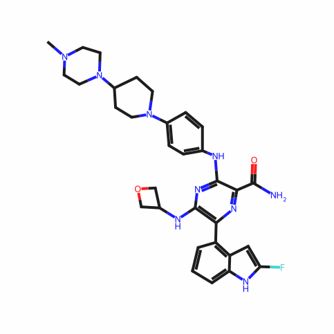 CN1CCN(C2CCN(c3ccc(Nc4nc(NC5COC5)c(-c5cccc6[nH]c(F)cc56)nc4C(N)=O)cc3)CC2)CC1